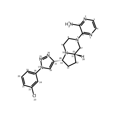 Nc1nccnc1N1CCN2[C@@H](CC[C@@H]2c2cn(-c3cccc(Cl)c3)nn2)C1